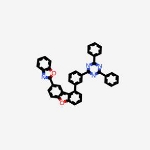 c1ccc(-c2nc(-c3ccccc3)nc(-c3cccc(-c4cccc5oc6ccc(-c7nc8ccccc8o7)cc6c45)c3)n2)cc1